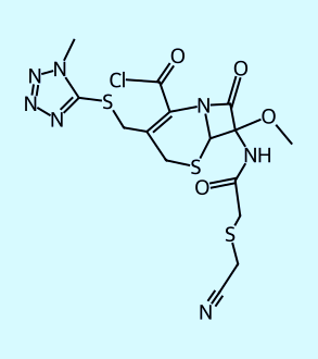 COC1(NC(=O)CSCC#N)C(=O)N2C(C(=O)Cl)=C(CSc3nnnn3C)CSC21